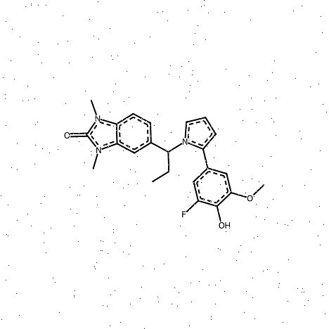 CCC(c1ccc2c(c1)n(C)c(=O)n2C)n1cccc1-c1cc(F)c(O)c(OC)c1